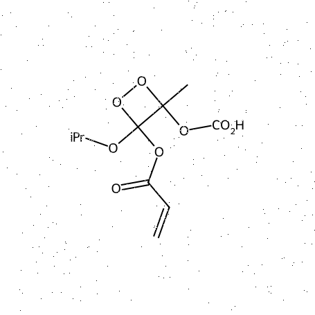 C=CC(=O)OC1(OC(C)C)OOC1(C)OC(=O)O